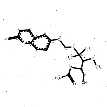 COC(C(CO)OC(N)=O)C(C)(C)OCOc1ccc2oc(=O)ccc2c1